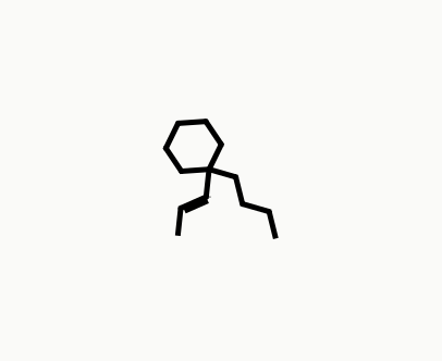 CC=[C]C1(CCCC)CCCCC1